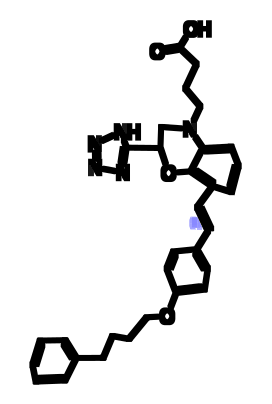 O=C(O)CCCN1CC(c2nnn[nH]2)Oc2c(/C=C/c3ccc(OCCCCc4ccccc4)cc3)cccc21